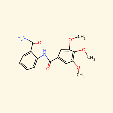 COc1cc(C(=O)Nc2ccccc2C(N)=O)cc(OC)c1OC